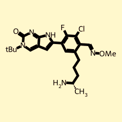 CO/N=C/c1c(CCC[C@H](C)N)cc(-c2cc3cn(C(C)(C)C)c(=O)nc3[nH]2)c(F)c1Cl